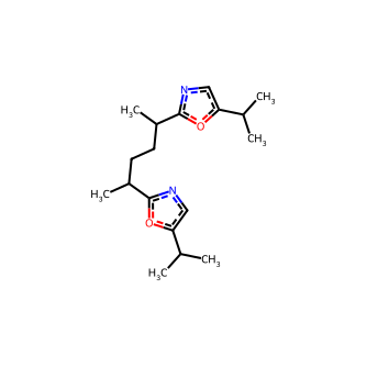 CC(C)c1cnc(C(C)CCC(C)c2ncc(C(C)C)o2)o1